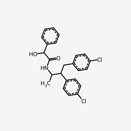 CC(NC(=O)C(O)c1ccccc1)C(Cc1ccc(Cl)cc1)c1ccc(Cl)cc1